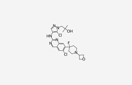 CC(C)(O)Cn1ncc(Nc2ncc3cc(Cl)c(C4(F)CCN(C5COC5)CC4)cc3n2)c1Cl